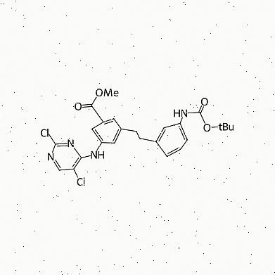 COC(=O)c1cc(CCc2cccc(NC(=O)OC(C)(C)C)c2)cc(Nc2nc(Cl)ncc2Cl)c1